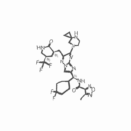 Cc1nonc1C(=O)N[C@H](c1cn2nc(C[C@H]3C[C@@H](C(F)(F)F)CNC3=O)c(N3CCNC4(CC4)C3)nc2n1)C1CCC(F)(F)CC1